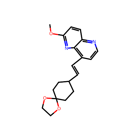 COc1ccc2nccc(C=CC3CCC4(CC3)OCCO4)c2n1